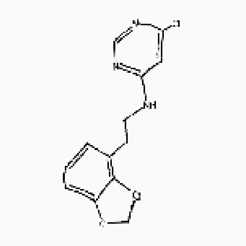 Clc1cc(NCCc2cccc3c2OCO3)ncn1